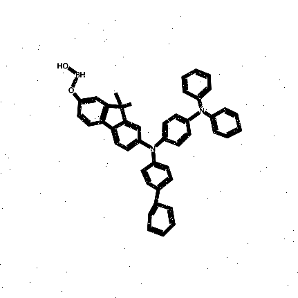 CC1(C)c2cc(OBO)ccc2-c2ccc(N(c3ccc(-c4ccccc4)cc3)c3ccc(N(c4ccccc4)c4ccccc4)cc3)cc21